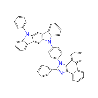 c1ccc(-c2nc3c4ccccc4c4ccccc4c3n2-c2ccc(-n3c4ccccc4c4cc5c(cc43)c3ccccc3n5-c3ccccc3)cc2)cc1